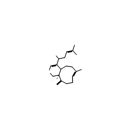 C=C1CC/C=C(\C)CC[C@@H]2C(C(CC=C(C)C)OC(C)=O)=CO[C@@H](OC(C)=O)[C@@H]12